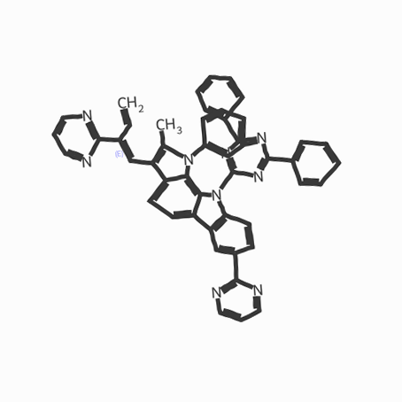 C=C/C(=C\c1c(C)n(-c2ccccc2)c2c1ccc1c3cc(-c4ncccn4)ccc3n(-c3nc(-c4ccccc4)nc(-c4ccccc4)n3)c12)c1ncccn1